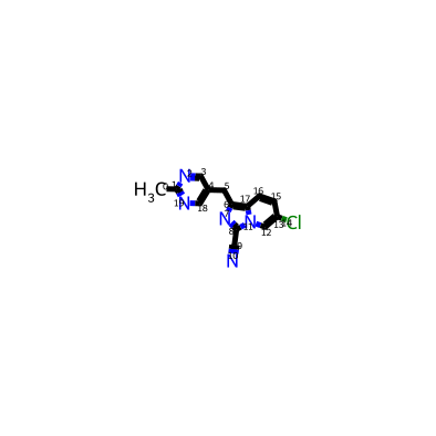 Cc1ncc(Cc2nc(C#N)n3cc(Cl)ccc23)cn1